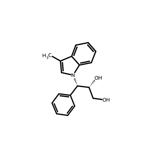 Cc1cn([C@@H](c2ccccc2)[C@H](O)CO)c2ccccc12